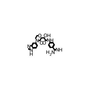 N=C(N)c1ccc(NC(=O)[C@H](O)[C@H]2OCCN(c3ccc4[nH]cnc4c3)C2=O)cc1